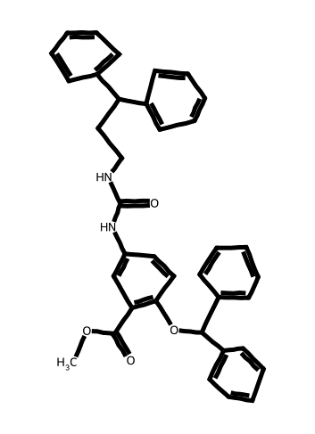 COC(=O)c1cc(NC(=O)NCCC(c2ccccc2)c2ccccc2)ccc1OC(c1ccccc1)c1ccccc1